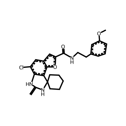 C=C1Nc2c(Cl)cc3cc(C(=O)NCCc4cccc(OC)c4)oc3c2C2(CCCCC2)N1